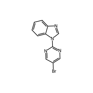 Brc1cnc(-n2cnc3ccccc32)nc1